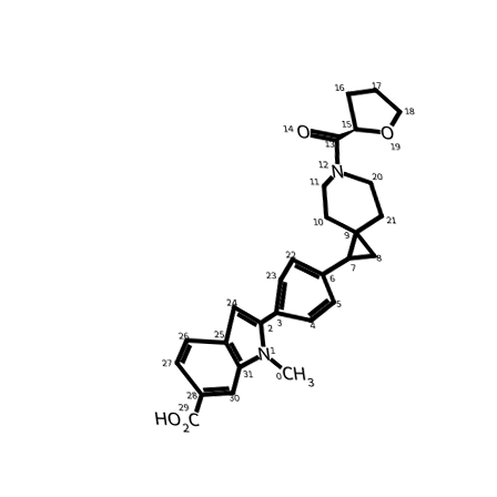 Cn1c(-c2ccc(C3CC34CCN(C(=O)[C@H]3CCCO3)CC4)cc2)cc2ccc(C(=O)O)cc21